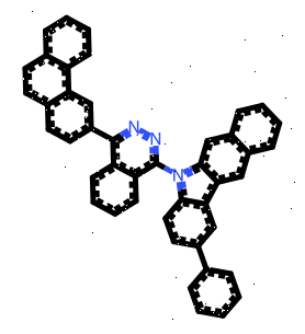 c1ccc(-c2ccc3c(c2)c2cc4ccccc4cc2n3-c2nnc(-c3ccc4ccc5ccccc5c4c3)c3ccccc23)cc1